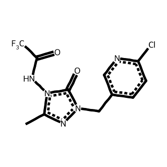 Cc1nn(Cc2ccc(Cl)nc2)c(=O)n1NC(=O)C(F)(F)F